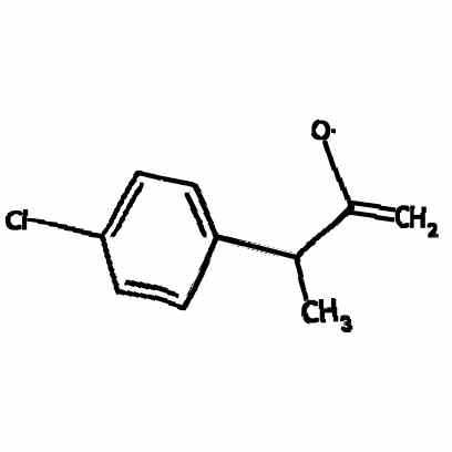 C=C([O])C(C)c1ccc(Cl)cc1